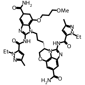 CCn1nc(C)cc1C(=O)Nc1nc2c(n1CCC[C@H]1COc3cc(C(N)=O)cc4nc(NC(=O)c5cc(C)nn5CC)n1c34)=C(OCCCOC)CC(C(N)=O)C=2